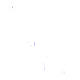 CCOc1ccc(C(=O)CC(Sc2ccc(C)cc2)C(=O)NC[C@H]2CC[C@@H](Nc3nc(N(C)C)c4ccccc4n3)CC2)cc1